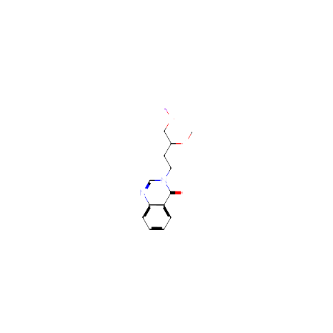 COC(CCn1cnc2ccccc2c1=O)COI